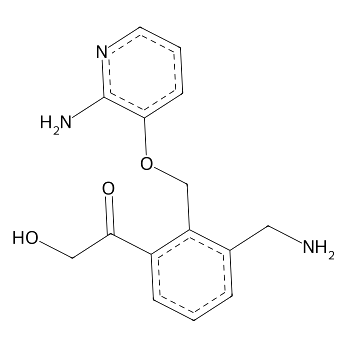 NCc1cccc(C(=O)CO)c1COc1cccnc1N